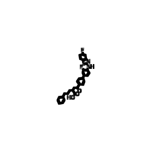 O=C(CC(CCCc1ccccc1)C(=O)O)c1ccc(-c2ccc(Nc3nc4cc(F)ccc4s3)c(F)c2)cc1